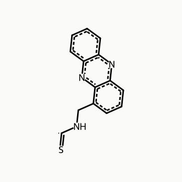 S=[C]NCc1cccc2nc3ccccc3nc12